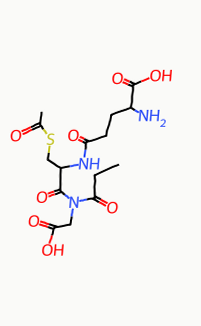 CCC(=O)N(CC(=O)O)C(=O)C(CSC(C)=O)NC(=O)CCC(N)C(=O)O